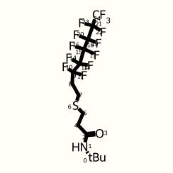 CC(C)(C)NC(=O)CCSCCC(F)(F)C(F)(F)C(F)(F)C(F)(F)C(F)(F)C(F)(F)F